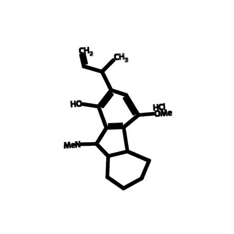 C=CC(C)c1cc(OC)c2c(c1O)C(NC)C1CCCCC21.Cl